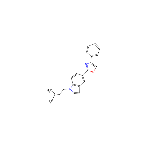 CC(C)CCn1ccc2cc(-c3nc(-c4ccccc4)co3)ccc21